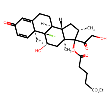 CCOC(=O)CCCC(=O)O[C@]1(C(=O)CO)[C@@H](C)C[C@H]2[C@@H]3CCC4=CC(=O)C=C[C@]4(C)[C@@]3(F)[C@@H](O)C[C@@]21C